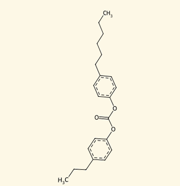 CCCCCCc1ccc(OC(=O)Oc2ccc(CCC)cc2)cc1